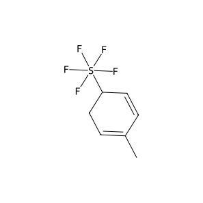 CC1=CCC(S(F)(F)(F)(F)F)C=C1